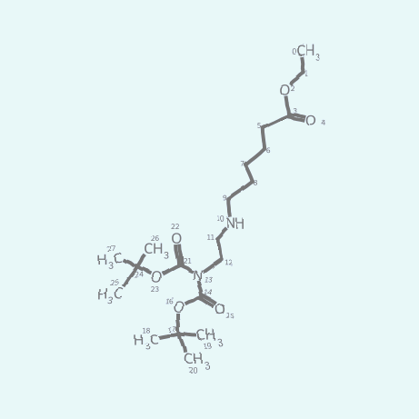 CCOC(=O)CCCCCNCCN(C(=O)OC(C)(C)C)C(=O)OC(C)(C)C